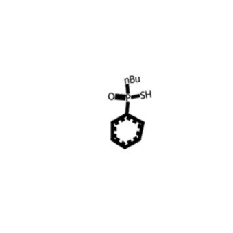 CCCCP(=O)(S)c1ccccc1